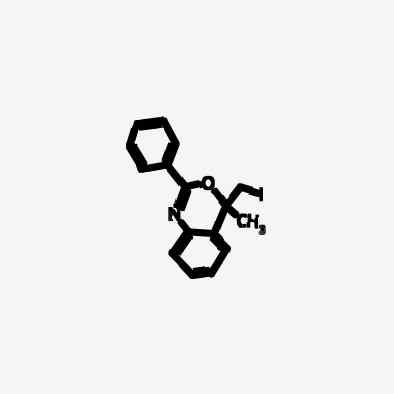 CC1(CI)OC(c2ccccc2)=Nc2ccccc21